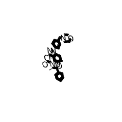 C[C@H](NC(=O)C(F)(F)F)[C@H](Oc1ccc2c(cnn2-c2ccc(CN3CCOCC3)cc2)c1)c1ccccc1